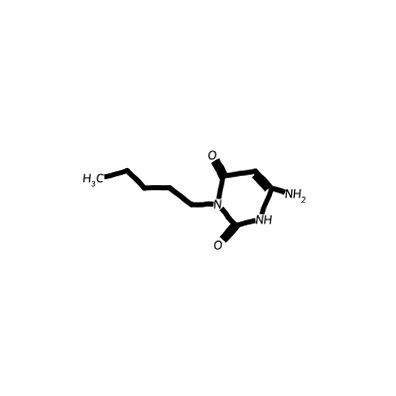 CCCCCn1c(=O)cc(N)[nH]c1=O